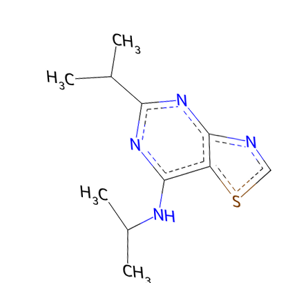 CC(C)Nc1nc(C(C)C)nc2ncsc12